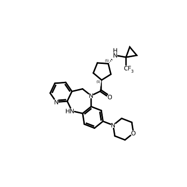 O=C([C@H]1CC[C@H](NC2(C(F)(F)F)CC2)C1)N1Cc2cccnc2Nc2ccc(N3CCOCC3)cc21